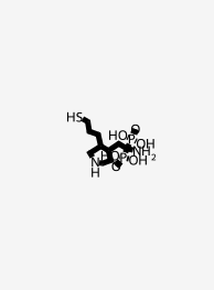 NC(CC1CCNCC1CCCS)(P(=O)(O)O)P(=O)(O)O